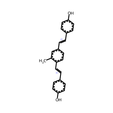 Cc1cc(/C=C/c2ccc(O)cc2)ccc1/C=C/c1ccc(O)cc1